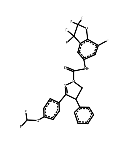 O=C(Nc1cc(F)c2c(c1)C(F)(F)C(F)(F)O2)N1CC(c2ccccc2)C(c2ccc(OC(F)F)cc2)=N1